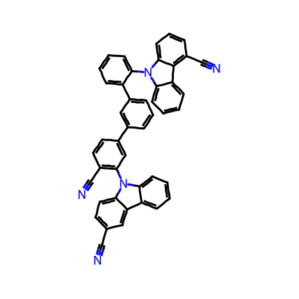 N#Cc1ccc2c(c1)c1ccccc1n2-c1cc(-c2cccc(-c3ccccc3-n3c4ccccc4c4c(C#N)cccc43)c2)ccc1C#N